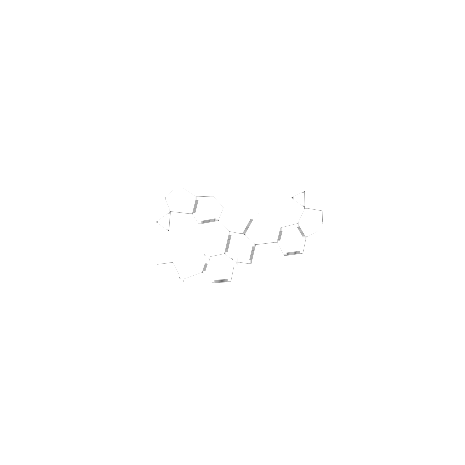 O=c1c(-c2ccc3c(c2)C2(CC2)CO3)cn2ccc(NCC(F)(F)F)nc2c1C1=CC2=C(CC1)OCC21CC1